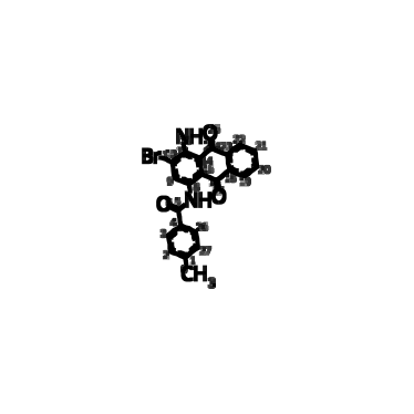 Cc1ccc(C(=O)Nc2cc(Br)c(N)c3c2C(=O)c2ccccc2C3=O)cc1